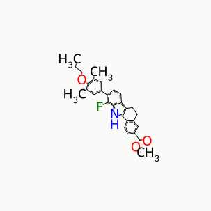 CCCOc1c(C)cc(-c2ccc3c4c([nH]c3c2F)-c2ccc(C(=O)OC)cc2CC4)cc1C